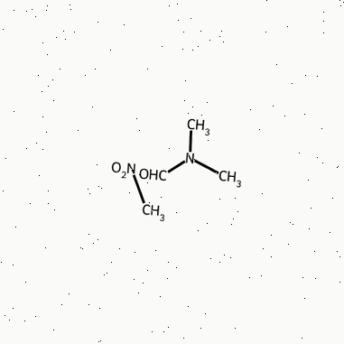 CN(C)C=O.C[N+](=O)[O-]